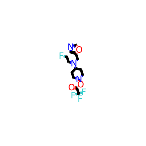 O=C(ON1CCC(N(CCF)Cc2cnco2)CC1)C(F)(F)F